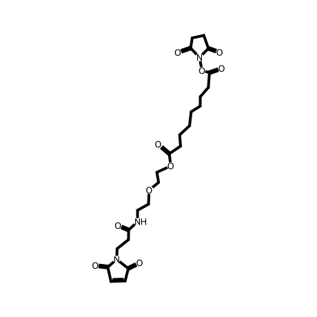 O=C(CCN1C(=O)C=CC1=O)NCCOCCOC(=O)CCCCCCCC(=O)ON1C(=O)CCC1=O